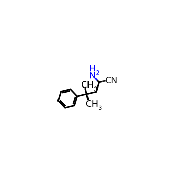 CC(C)(CC(N)C#N)c1ccccc1